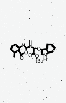 Cc1cccc2nc(N[C@@H](Cc3c[nH]c4ccccc34)C(=O)OC(C)(C)C)oc(=O)c12